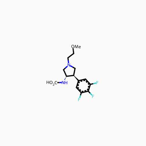 COCCN1C[C@@H](NC(=O)O)[C@H](c2cc(F)c(F)c(F)c2)C1